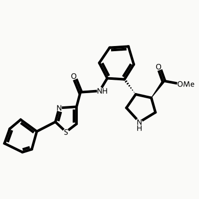 COC(=O)[C@H]1CNC[C@@H]1c1ccccc1NC(=O)c1csc(-c2ccccc2)n1